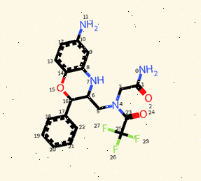 NC(=O)CN(CC1Nc2cc(N)ccc2OC1c1ccccc1)C(=O)C(F)(F)F